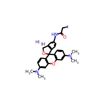 CN(C)c1ccc2c(c1)Oc1cc(N(C)C)ccc1C21OCc2cc(NC(=O)CI)ccc21.I.I